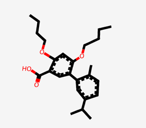 CCCCOc1cc(OCCCC)c(-c2cc(C(C)C)ccc2C)cc1C(=O)O